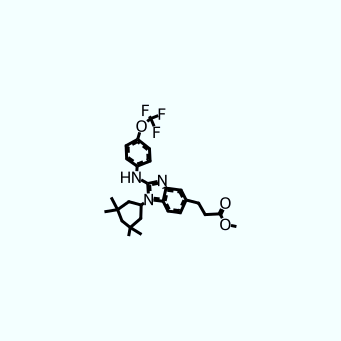 COC(=O)CCc1ccc2c(c1)nc(Nc1ccc(OC(F)(F)F)cc1)n2C1CC(C)(C)CC(C)(C)C1